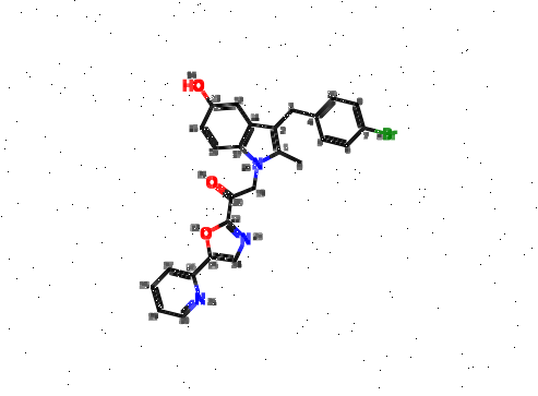 Cc1c(Cc2ccc(Br)cc2)c2cc(O)ccc2n1CC(=O)c1ncc(-c2ccccn2)o1